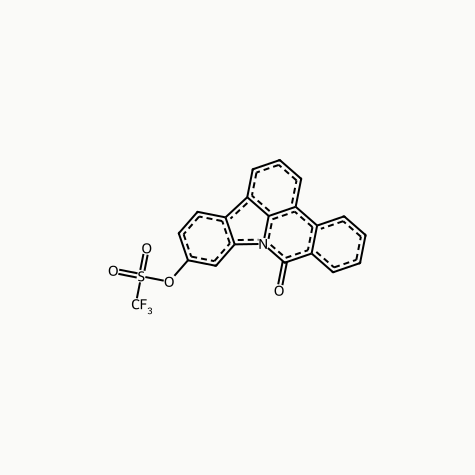 O=c1c2ccccc2c2cccc3c4ccc(OS(=O)(=O)C(F)(F)F)cc4n1c23